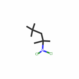 CC(C)(C)CC(C)(C)N(Cl)Cl